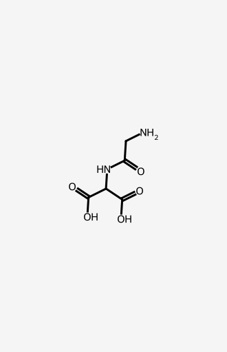 NCC(=O)NC(C(=O)O)C(=O)O